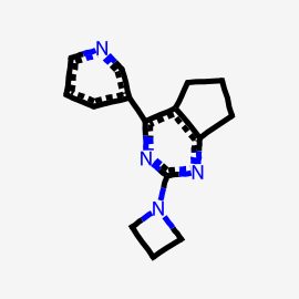 c1cncc(-c2nc(N3CCC3)nc3c2CCC3)c1